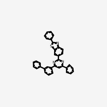 c1ccc(-c2cccc(-c3cc(-c4ccccc4)nc(-c4ccc5nc(-c6ccccc6)sc5c4)n3)c2)cc1